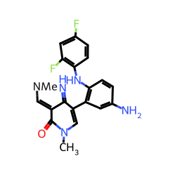 CN/C=C1\C(=N)C(c2cc(N)ccc2Nc2ccc(F)cc2F)=CN(C)C1=O